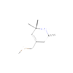 C=C1CC(CSC)=CC(C)(C)N1